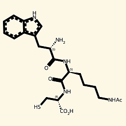 CC(=O)NCCCC[C@H](NC(=O)[C@@H](N)Cc1c[nH]c2ccccc12)C(=O)N[C@@H](CS)C(=O)O